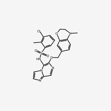 Cc1c(Cl)cccc1S(=O)(=O)Nc1c(OCc2ccc3c(c2)OCCN3C)ncc2nccn12